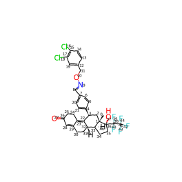 C[C@]12C[C@H](c3ccc(C=NOCc4ccc(Cl)c(Cl)c4)cc3)C3=C4CCC(=O)C=C4CC[C@H]3[C@@H]1CC[C@@]2(O)C(F)(F)C(F)(F)F